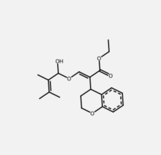 CCOC(=O)/C(=C/OC(O)C(C)=C(C)C)C1CCOc2ccccc21